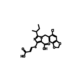 CCC(C)c1nc(SC=CC(=O)O)c(C(=O)O)n1Cc1cc2c(cc1Cl)OCO2